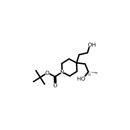 C[C@H](O)CC1(CCO)CCN(C(=O)OC(C)(C)C)CC1